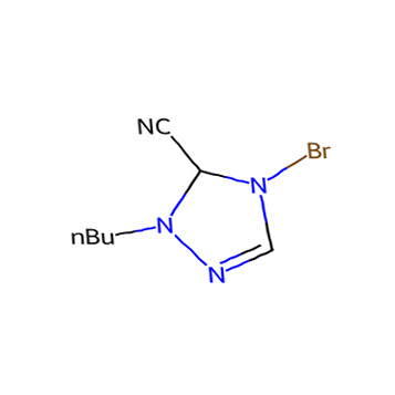 CCCCN1N=CN(Br)C1C#N